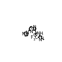 Cn1cc(NC(=O)c2cnn3ccc(N4CCN5CCC4CC5)nc23)c(C(F)(F)F)n1